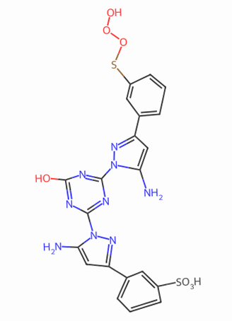 Nc1cc(-c2cccc(SOOO)c2)nn1-c1nc(O)nc(-n2nc(-c3cccc(S(=O)(=O)O)c3)cc2N)n1